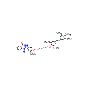 COc1cc(C2NC(=O)c3cc(C)ccc3N2)ccc1OCCCCCCCOc1c(OC)cc(C=Cc2cc(OC)c(OC)c(OC)c2)cc1OC